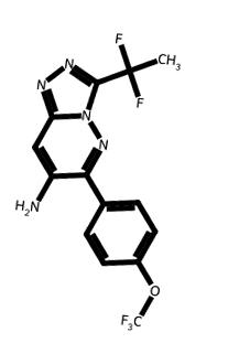 CC(F)(F)c1nnc2cc(N)c(-c3ccc(OC(F)(F)F)cc3)nn12